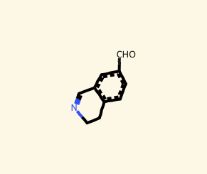 O=Cc1ccc2c(c1)C=NCC2